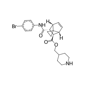 O=C(OCC1CCNCC1)[C@H]1[C@H](C(=O)Nc2ccc(Br)cc2)[C@@H]2C=C[C@H]1C21CC1